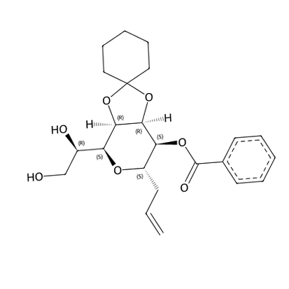 C=CC[C@@H]1O[C@@H]([C@H](O)CO)[C@H]2OC3(CCCCC3)O[C@H]2[C@H]1OC(=O)c1ccccc1